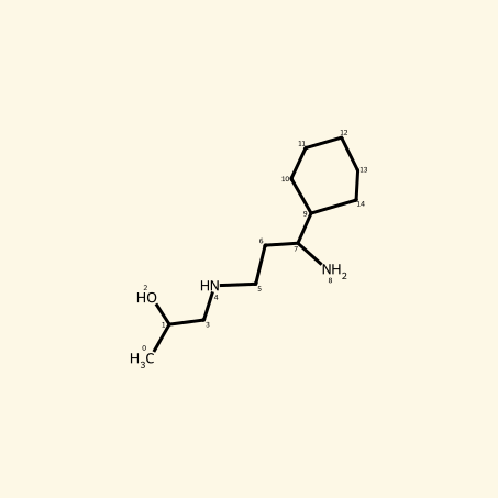 CC(O)CNCCC(N)C1CCCCC1